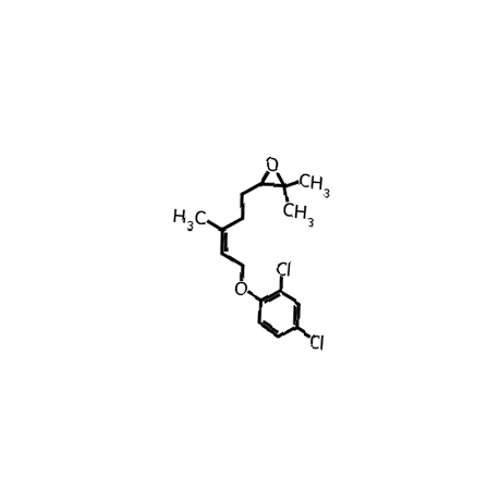 CC(=CCOc1ccc(Cl)cc1Cl)CCC1OC1(C)C